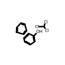 ClC(Cl)Cl.Oc1ccccc1.c1ccccc1